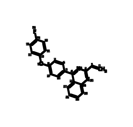 C=Cc1nc(-c2ccc(Oc3ccc(F)cc3)cc2)c2ccccc2n1